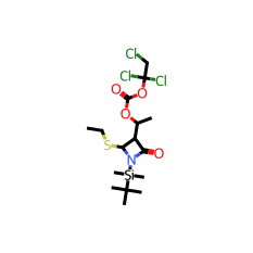 CCSC1C(C(C)OC(=O)OC(Cl)(Cl)CCl)C(=O)N1[Si](C)(C)C(C)(C)C